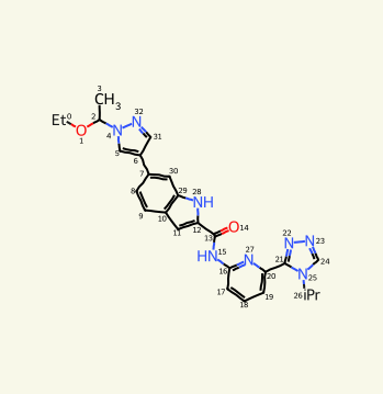 CCOC(C)n1cc(-c2ccc3cc(C(=O)Nc4cccc(-c5nncn5C(C)C)n4)[nH]c3c2)cn1